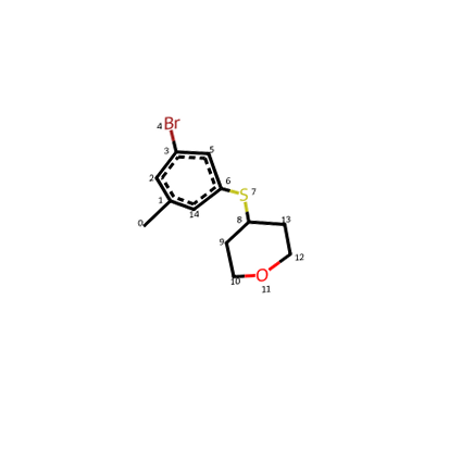 Cc1cc(Br)cc(SC2CCOCC2)c1